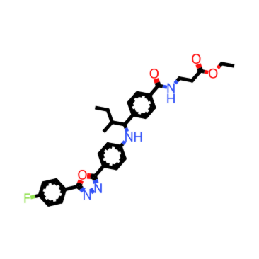 CCOC(=O)CCNC(=O)c1ccc(C(Nc2ccc(-c3nnc(-c4ccc(F)cc4)o3)cc2)C(C)CC)cc1